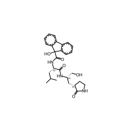 CC(C)C[C@H](NC(=O)C1(O)c2ccccc2-c2ccccc21)C(=O)N[C@H](CO)C[C@@H]1CCNC1=O